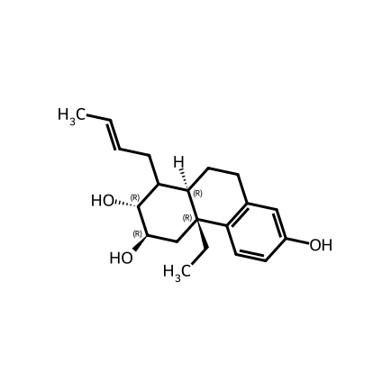 CC=CCC1[C@@H](O)[C@H](O)C[C@@]2(CC)c3ccc(O)cc3CC[C@H]12